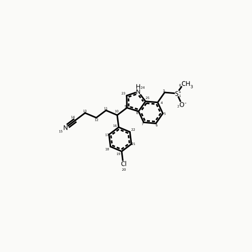 C[S+]([O-])Cc1cccc2c(C(CCCC#N)c3ccc(Cl)cc3)c[nH]c12